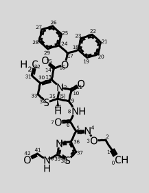 C#CCON=C(C(=O)NC1C(=O)N2C(C(=O)OC(c3ccccc3)c3ccccc3)=C(C=C)CS[C@@H]12)c1csc(NC=O)n1